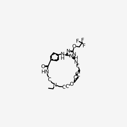 CCN1CCCNC(=O)c2ccc(cc2)Nc2nc(nc(OCC(F)(F)F)n2)NCc2ccc(cc2)OCCC1